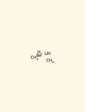 C.C.[BeH2].[LiH]